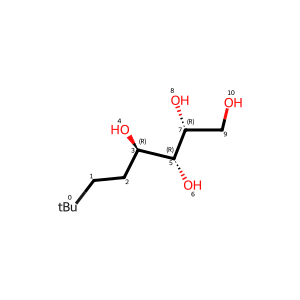 CC(C)(C)CC[C@@H](O)[C@@H](O)[C@H](O)CO